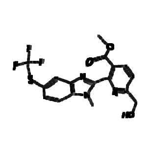 COC(=O)c1ccc(CO)nc1-c1nc2cc(SC(F)(F)F)ccc2n1C